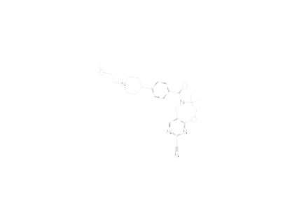 COCCN1CCC(c2ccc(C(=O)N3Cc4cnc(C#N)nc4OCC3(C)C)cc2)CC1